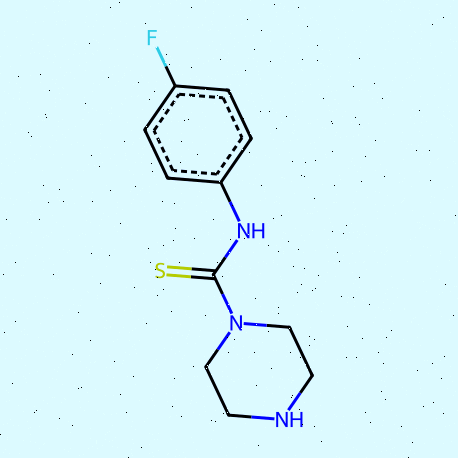 Fc1ccc(NC(=S)N2CCNCC2)cc1